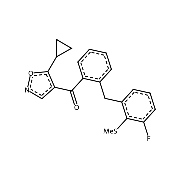 CSc1c(F)cccc1Cc1ccccc1C(=O)c1cnoc1C1CC1